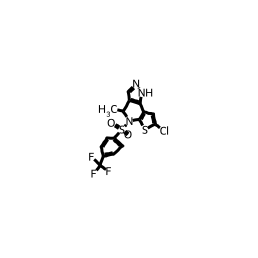 CC1c2cn[nH]c2-c2cc(Cl)sc2N1S(=O)(=O)c1ccc(C(F)(F)F)cc1